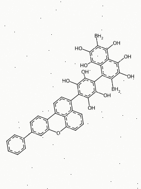 Bc1c(O)c(O)c2c(-c3c(O)c(O)c(-c4ccc5c6c(cccc46)Oc4cc(-c6ccccc6)ccc4-5)c(O)c3O)c(B)c(O)c(O)c2c1O